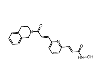 O=C(/C=C/c1cccc(/C=C/C(=O)N2CCc3ccccc3C2)n1)NO